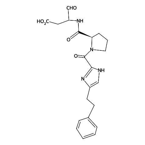 O=CC(CC(=O)O)NC(=O)[C@H]1CCCN1C(=O)c1nc(CCc2ccccc2)c[nH]1